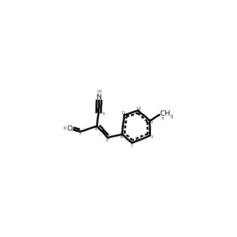 Cc1ccc(/C=C(/[C]=O)C#N)cc1